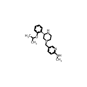 CNc1ccc(CN2CCN[C@H](c3ccccc3OC(C)C)C2)cn1